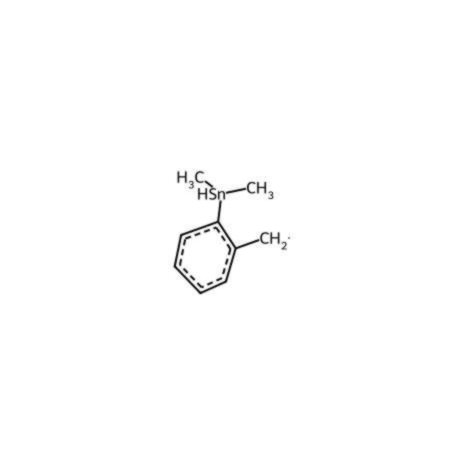 [CH2]c1cccc[c]1[SnH]([CH3])[CH3]